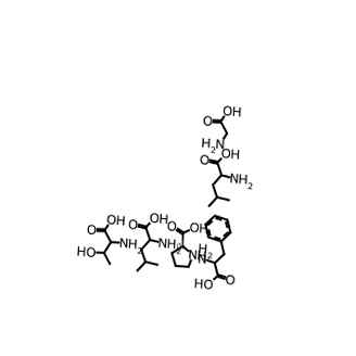 CC(C)CC(N)C(=O)O.CC(C)CC(N)C(=O)O.CC(O)C(N)C(=O)O.NC(Cc1ccccc1)C(=O)O.NCC(=O)O.O=C(O)[C@@H]1CCCN1